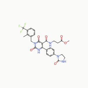 COC(=O)CCNC(=O)c1c(-c2ccc(N3CCNC3=O)cc2)[nH]c(=O)n(Cc2cccc(C(F)(F)F)c2C)c1=O